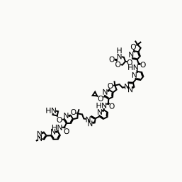 Cn1cc(-c2cccc(NC(=O)c3cc4c(nc3OC3CNC3)OC(C)(CCn3cc(-c5cccc(NC(=O)c6cc7c(nc6OC6CC6)OC(C)(CCn6cc(-c8cccc(NC(=O)c9cc%10c(nc9OC9CNC(=O)OC9)OC(C)(C)C%10)n8)cn6)C7)n5)cn3)C4)n2)cn1